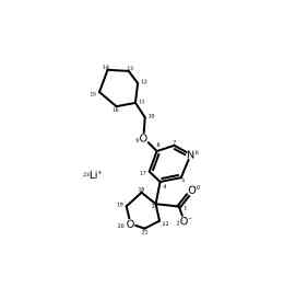 O=C([O-])C1(c2cncc(OCC3CCCCC3)c2)CCOCC1.[Li+]